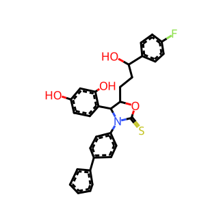 Oc1ccc(C2C(CCC(O)c3ccc(F)cc3)OC(=S)N2c2ccc(-c3ccccc3)cc2)c(O)c1